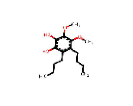 CCCCc1c(O)c(O)c(OC)c(OC)c1CCCC